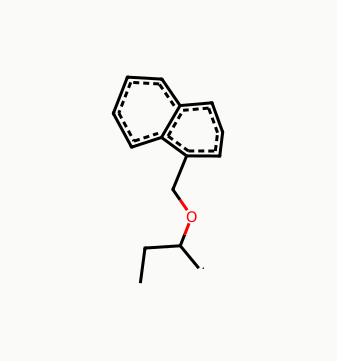 [CH2]C(CC)OCc1cccc2ccccc12